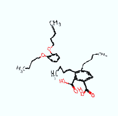 CCCCOc1ccccc1OCCCC.CCCCc1ccc(C(=O)O)c(C(=O)O)c1CCCC